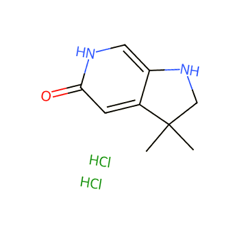 CC1(C)CNc2c[nH]c(=O)cc21.Cl.Cl